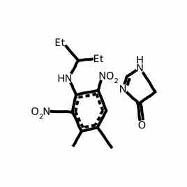 CCC(CC)Nc1c([N+](=O)[O-])cc(C)c(C)c1[N+](=O)[O-].O=C1CNC=N1